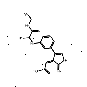 C=C(/C=C1\C(=N)NC=C1c1cncc(NC(C(=O)NCC(F)(F)F)C(C)C)c1)C(=O)OCC